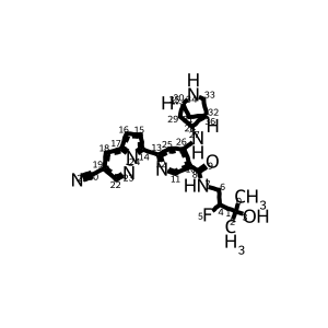 CC(C)(O)C(F)CNC(=O)c1cnc(-c2ccc3cc(C#N)cnn23)cc1N[C@H]1C[C@@H]2C[C@H]1CN2